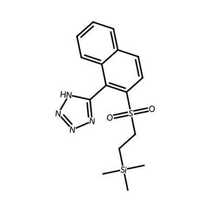 C[Si](C)(C)CCS(=O)(=O)c1ccc2ccccc2c1-c1nnn[nH]1